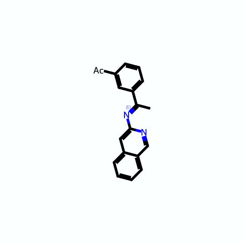 CC(=O)c1cccc(/C(C)=N/c2cc3ccccc3cn2)c1